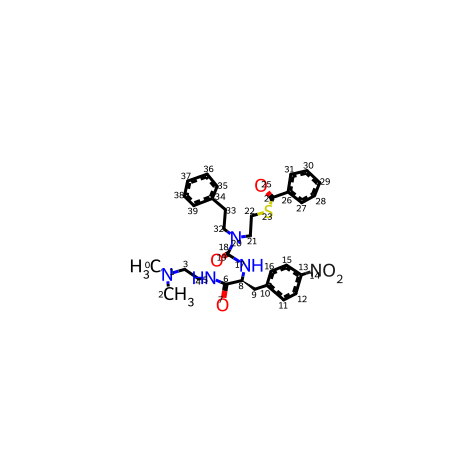 CN(C)CCNC(=O)[C@H](Cc1ccc([N+](=O)[O-])cc1)NC(=O)N(CCSC(=O)c1ccccc1)CCc1ccccc1